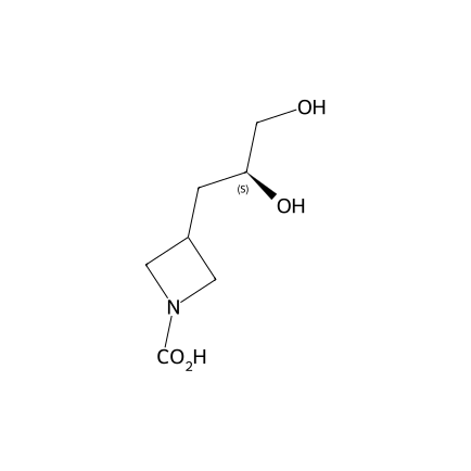 O=C(O)N1CC(C[C@H](O)CO)C1